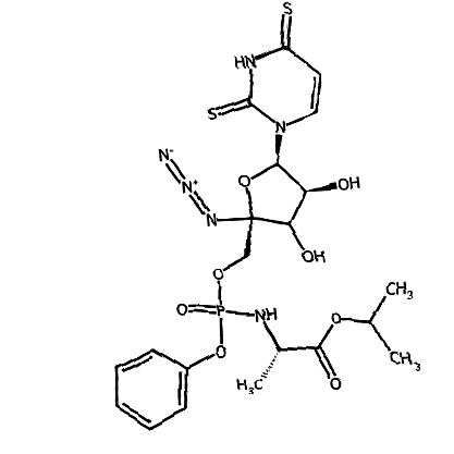 CC(C)OC(=O)[C@H](C)NP(=O)(OC[C@@]1(N=[N+]=[N-])O[C@@H](n2ccc(=S)[nH]c2=S)[C@@H](O)C1O)Oc1ccccc1